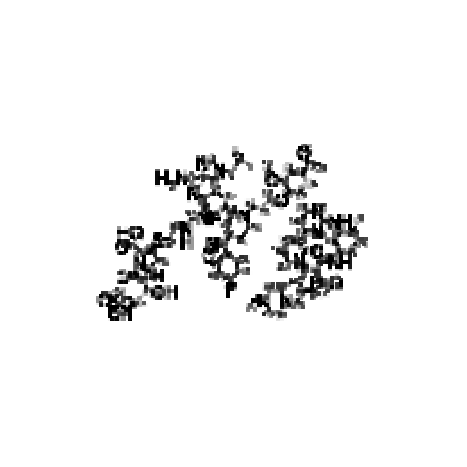 CC(C)Cn1cnc2c(N)nc3ccccc3c21.COc1cc(C(C)=O)ccc1OCCCN1CCC(c2noc3cc(F)ccc23)CC1.CS(=O)(=O)O.C[C@@H](O)[C@H]1C(=O)N2C(C(=O)O)=C(SCCNC=N)C[C@H]12.Cc1ccc(NC(=O)c2ccc(CN3CCN(C)CC3)cc2)cc1Nc1nccc(-c2cccnc2)n1.O